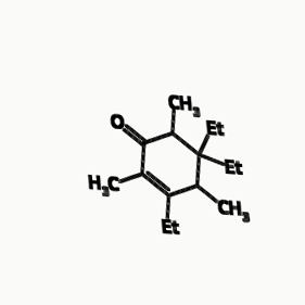 CCC1=C(C)C(=O)C(C)C(CC)(CC)C1C